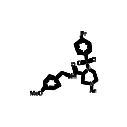 COc1ccc(CNC(=O)C2CN(C(C)=O)CCN2S(=O)(=O)c2ccc(C(C)C)cc2)cc1